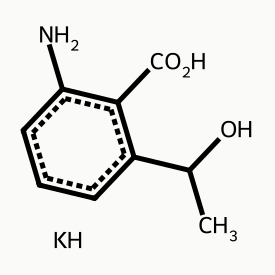 CC(O)c1cccc(N)c1C(=O)O.[KH]